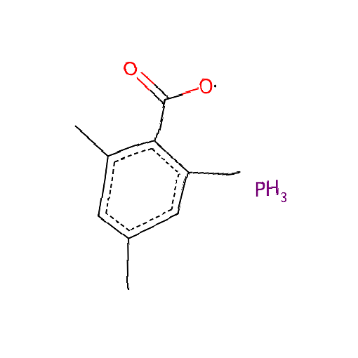 Cc1cc(C)c(C([O])=O)c(C)c1.P